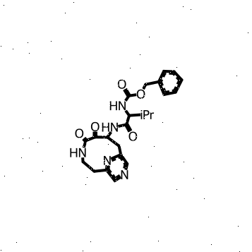 CC(C)C(NC(=O)OCc1ccccc1)C(=O)NC1Cc2cncc(n2)CCNC(=O)C1=O